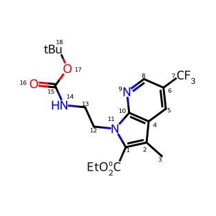 CCOC(=O)c1c(C)c2cc(C(F)(F)F)cnc2n1CCNC(=O)OC(C)(C)C